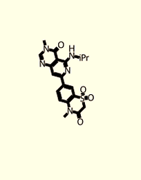 CC(C)Nc1nc(-c2ccc3c(c2)S(=O)(=O)CC(=O)N3C)cc2ncn(C)c(=O)c12